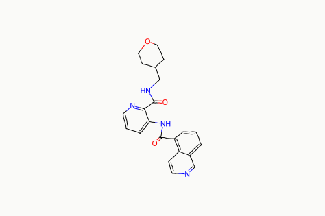 O=C(NCC1CCOCC1)c1ncccc1NC(=O)c1cccc2cnccc12